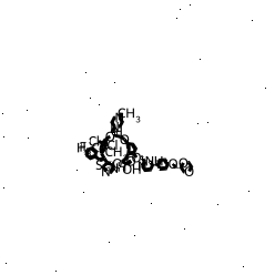 Cc1c(Cl)c2c(Cl)c(C)c1-c1c(-c3ccc(F)cc3)sc3ncnc(c13)O[C@@H](C(=O)O)Cc1cc(ccc1OCC1=NC=C[C@H](c3ccc(OC[C@H]4COCCO4)cc3)N1)OC[C@@H](CN1CCN(C)CC1)O2